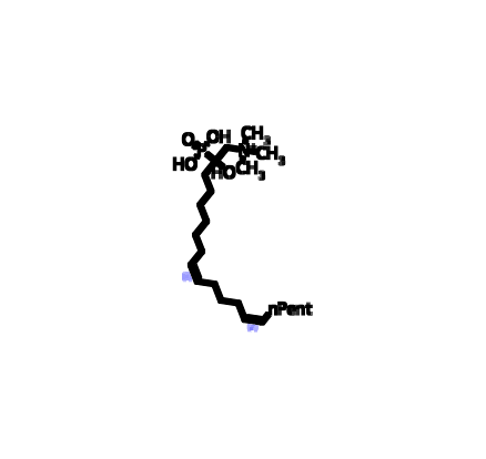 CCCCC/C=C\CCC/C=C\CCCCCCC(O)(C[N+](C)(C)C)P(=O)(O)O